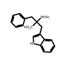 CC(=O)NC(Cc1ccccc1)(Cc1c[nH]c2ccccc12)C(=O)O